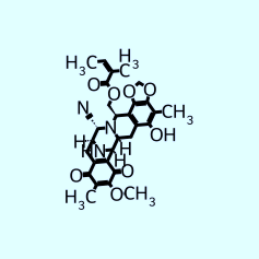 C/C=C(/C)C(=O)OC[C@H]1c2c(c(O)c(C)c3c2OCO3)C[C@H]2[C@@H]3N[C@@H](CC4=C3C(=O)C(OC)=C(C)C4=O)[C@H](C#N)N12